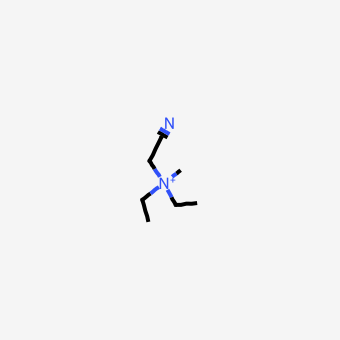 CC[N+](C)(CC)CC#N